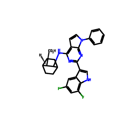 O=C(O)[C@@H]1C2CCC(CC2)C1Nc1nc(-c2c[nH]c3c(F)cc(F)cc23)nc2c1ccn2-c1ccccc1